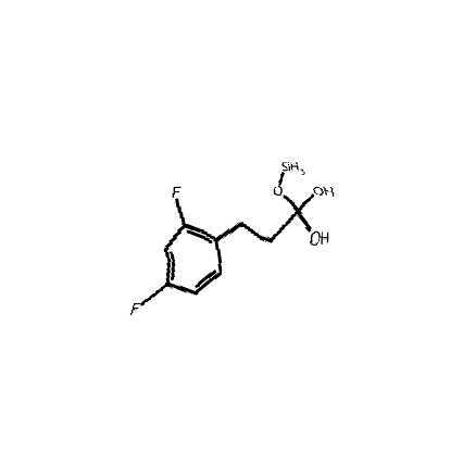 OC(O)(CCc1ccc(F)cc1F)O[SiH3]